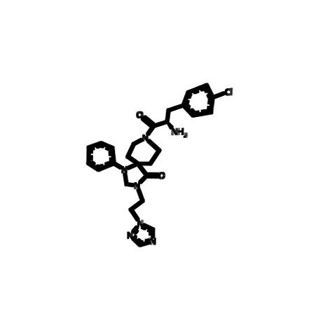 N[C@H](Cc1ccc(Cl)cc1)C(=O)N1CCC2(CC1)C(=O)N(CCn1cncn1)CN2c1ccccc1